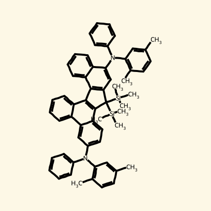 Cc1ccc(C)c(N(c2ccccc2)c2ccc3c4c(c5ccccc5c3c2)-c2c(cc(N(c3ccccc3)c3cc(C)ccc3C)c3ccccc23)C4([Si](C)(C)C)[Si](C)(C)C)c1